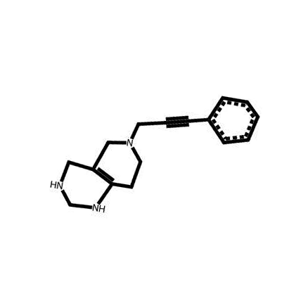 C(#Cc1ccccc1)CN1CCC2=C(CNCN2)C1